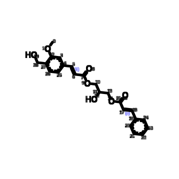 COc1cc(/C=C/C(=O)OCC(O)COC(=O)/C=C/c2ccccc2)ccc1CO